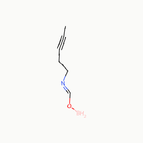 BOC=NCCC#CC